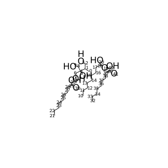 CC(CO)C(O)(CO)CO.CCCCCCCCC(=O)O.CCCCCCCCC(=O)O.CCCCCCCCC(=O)O